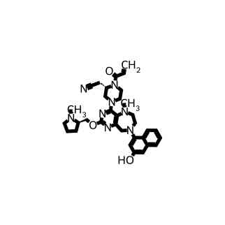 C=CC(=O)N1CCN(c2nc(OC[C@H]3CCCN3C)nc3c2N(C)CCN(c2cc(O)cc4ccccc24)C3)C[C@@H]1CC#N